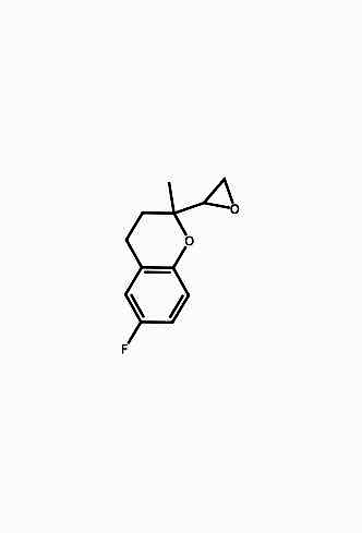 CC1(C2CO2)CCc2cc(F)ccc2O1